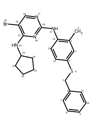 Cc1cc(SCc2ccccc2)ccc1Nc1ncc(Br)c(NC2CCCC2)n1